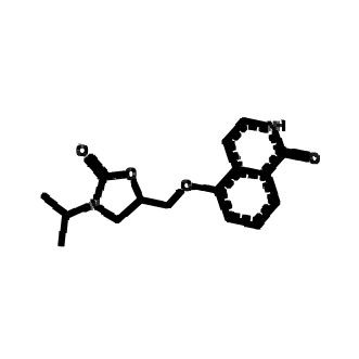 CC(C)N1CC(COc2cccc3c(=O)[nH]ccc23)OC1=O